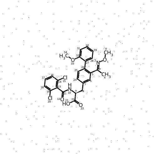 CON=C(C)c1cc(C[C@H](NC(=O)c2c(Cl)cccc2Cl)C(=O)O)ccc1-c1ccccc1OC